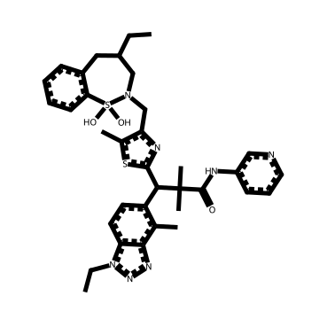 CCC1Cc2ccccc2S(O)(O)N(Cc2nc(C(c3ccc4c(nnn4CC)c3C)C(C)(C)C(=O)Nc3cccnc3)sc2C)C1